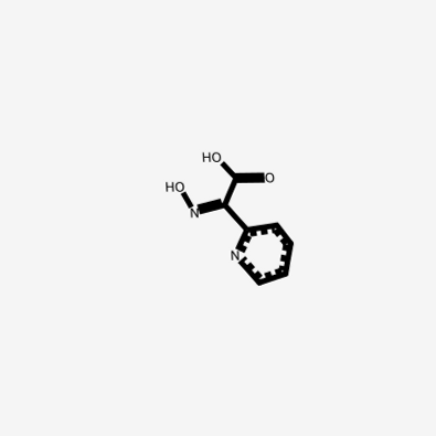 O=C(O)C(=NO)c1ccccn1